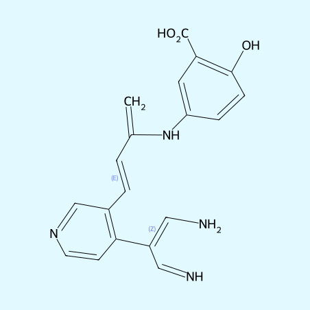 C=C(/C=C/c1cnccc1/C(C=N)=C/N)Nc1ccc(O)c(C(=O)O)c1